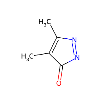 CC1=C(C)C(=O)N=N1